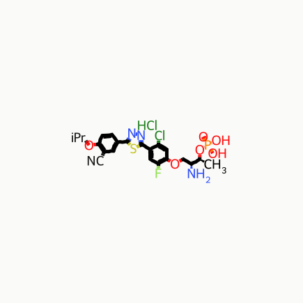 CC(C)Oc1ccc(-c2nnc(-c3cc(F)c(OC[C@H](N)[C@H](C)OP(=O)(O)O)cc3Cl)s2)cc1C#N.Cl